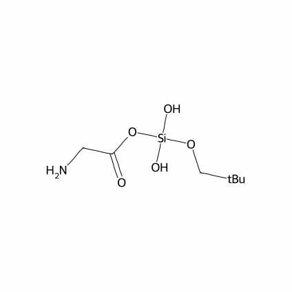 CC(C)(C)CO[Si](O)(O)OC(=O)CN